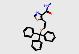 CNC(=O)c1ncsc1/C=C\SC(c1ccccc1)(c1ccccc1)c1ccccc1